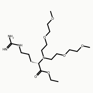 CCOC(=O)[C@H](CCCNC(=N)N)N(CCOCCOC)CCOCCOC